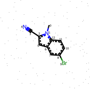 Cn1c(C#N)cc2cc(Br)ccc21